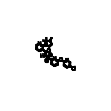 CC1CCN(c2ncccc2C(=O)NS(=O)(=O)c2cccc(Oc3ccc(Cl)cn3)n2)C1(C)C